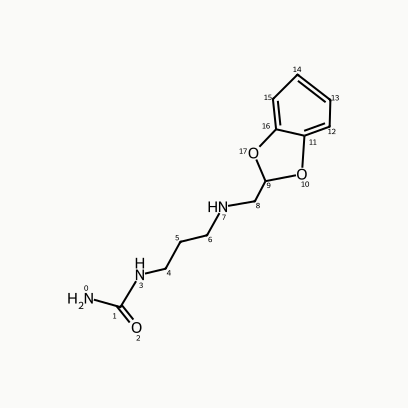 NC(=O)NCCCNCC1Oc2ccccc2O1